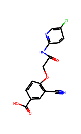 N#Cc1cc(C(=O)O)ccc1OCC(=O)Nc1ccc(Cl)cn1